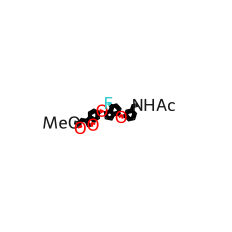 COC(=O)CC1COc2cc(O[C@@H]3CCc4c(Oc5cccc(CNC(C)=O)c5)ccc(F)c43)ccc21